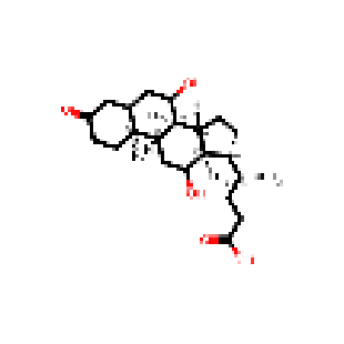 C[C@H](CCC(=O)O)[C@H]1CC[C@H]2[C@@H]3C(O)CC4CC(=O)CC[C@]4(C)[C@H]3CC(O)[C@]12C